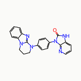 O=c1[nH]c2cccnc2n1-c1ccc(N2CCCn3c2nc2ccccc23)cc1